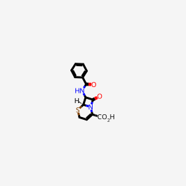 O=C(O)C1=CCS[C@H]2C(NC(=O)c3ccccc3)C(=O)N12